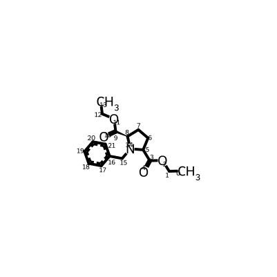 CCOC(=O)C1CC[C@H](C(=O)OCC)N1Cc1ccccc1